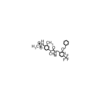 Cc1cc(C(C)C(=O)NCc2ccc(C(F)(F)F)nc2OCc2ccccc2)ccc1NS(C)(=O)=O